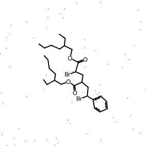 CCCCC(CC)COC(=O)C(Br)CC(CC(Br)c1ccccc1)C(=O)OCC(CC)CCCC